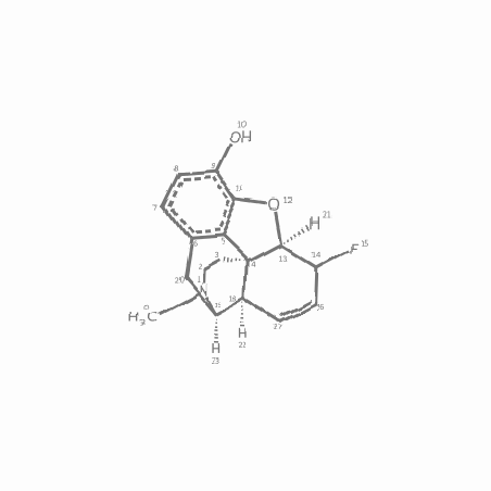 CN1CC[C@]23c4c5ccc(O)c4O[C@H]2C(F)C=C[C@H]3[C@H]1C5